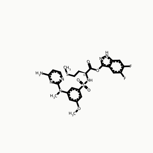 COc1cc(N(C)c2nccc(N)n2)cc(S(=O)(=O)N[C@@H](CCSC)C(=O)Oc2n[nH]c3cc(F)c(F)cc23)c1